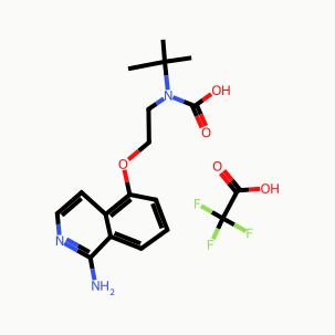 CC(C)(C)N(CCOc1cccc2c(N)nccc12)C(=O)O.O=C(O)C(F)(F)F